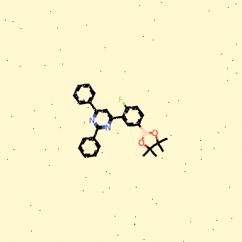 CC1(C)OB(c2ccc(F)c(-c3cc(-c4ccccc4)nc(-c4ccccc4)n3)c2)OC1(C)C